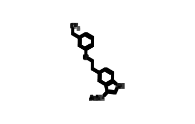 CC(=O)Nc1c[nH]c2ccc(CCOc3cccc(CC(F)(F)F)c3)cc12